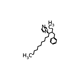 CCCCCCCCCCC(C(CC)Cc1ccccc1)n1ccnc1